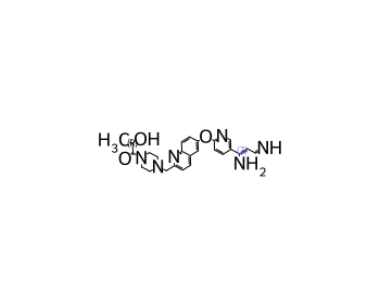 C[C@@H](O)C(=O)N1CCN(Cc2ccc3cc(Oc4ccc(/C(N)=C/C=N)cn4)ccc3n2)CC1